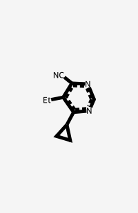 CCc1c(C#N)ncnc1C1CC1